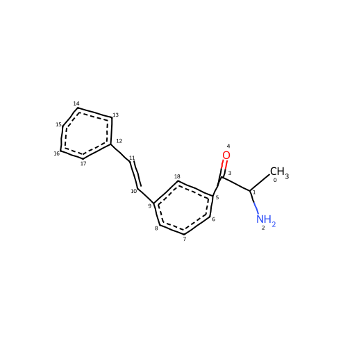 CC(N)C(=O)c1cccc(C=Cc2ccccc2)c1